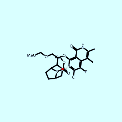 COCOCC(Oc1nc(Cl)c(F)c2c(C)c(C)[nH]c(=O)c12)C1NCC2CCC1N2C(=O)OC(C)(C)C